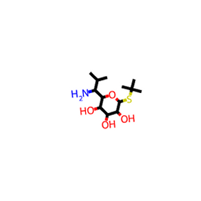 CC(C)C(N)C1OC(SC(C)(C)C)C(O)C(O)C1O